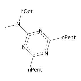 CCCCCCCCN(C)c1nc(CCCCC)nc(CCCCC)n1